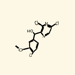 COc1cc(C(O)c2ncc(Cl)nc2Cl)ccc1Cl